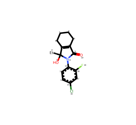 CCC1(O)C2=C(CCCC2)C(=O)N1c1ccc(Cl)cc1F